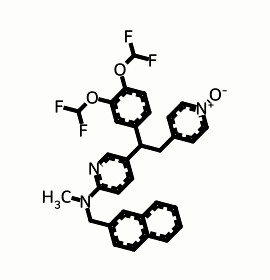 CN(Cc1ccc2ccccc2c1)c1ccc(C(Cc2cc[n+]([O-])cc2)c2ccc(OC(F)F)c(OC(F)F)c2)cn1